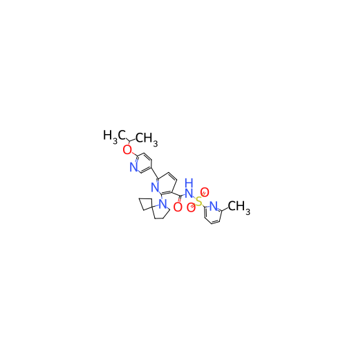 Cc1cccc(S(=O)(=O)NC(=O)c2ccc(-c3ccc(OC(C)C)nc3)nc2N2CCCC23CCC3)n1